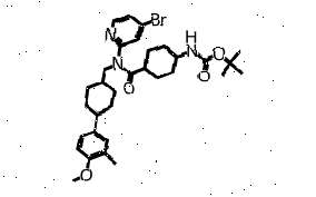 COc1ccc(C2CCC(CN(C(=O)C3CCC(NC(=O)OC(C)(C)C)CC3)c3cc(Br)ccn3)CC2)cc1C